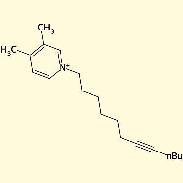 CCCCC#CCCCCCC[n+]1ccc(C)c(C)c1